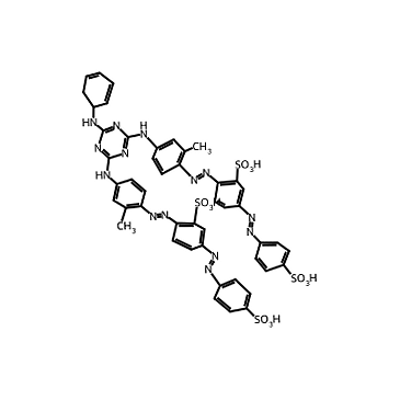 Cc1cc(Nc2nc(Nc3ccc(N=Nc4ccc(N=Nc5ccc(S(=O)(=O)O)cc5)cc4S(=O)(=O)O)c(C)c3)nc(NC3C=CC=CC3)n2)ccc1N=Nc1ccc(N=Nc2ccc(S(=O)(=O)O)cc2)cc1S(=O)(=O)O